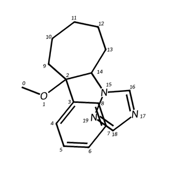 COC1(c2ccccc2)CCCCCC1n1cncn1